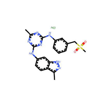 Cc1nc(Nc2cccc(CS(C)(=O)=O)c2)nc(Nc2ccc3c(C)n[nH]c3c2)n1.Cl